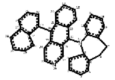 c1ccc2c(c1)CCc1ccccc1N2c1c2ccccc2c(-c2cccc3ccccc23)c2ccncc12